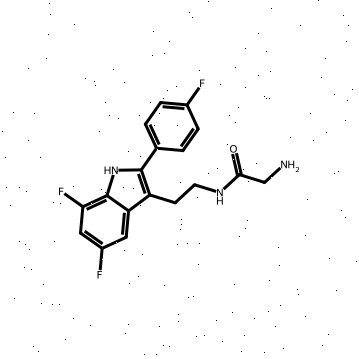 NCC(=O)NCCc1c(-c2ccc(F)cc2)[nH]c2c(F)cc(F)cc12